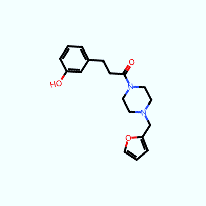 O=C(CCc1cccc(O)c1)N1CCN(Cc2ccco2)CC1